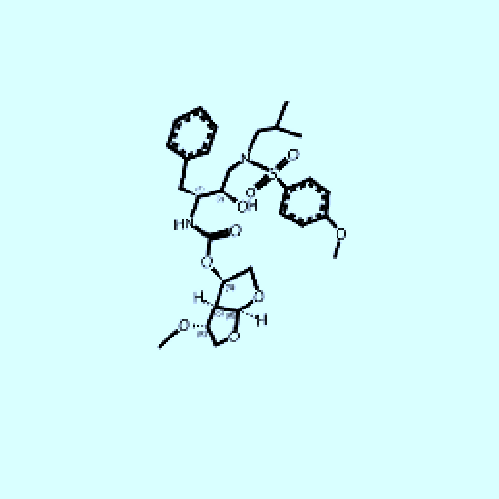 COc1ccc(S(=O)(=O)N(CC(C)C)C[C@@H](O)[C@H](Cc2ccccc2)NC(=O)O[C@H]2CO[C@H]3OC[C@H](OC)[C@H]32)cc1